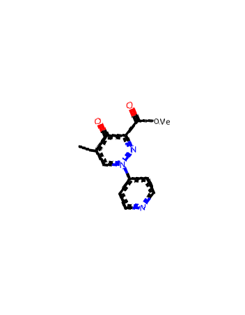 COC(=O)c1nn(-c2ccncc2)cc(C)c1=O